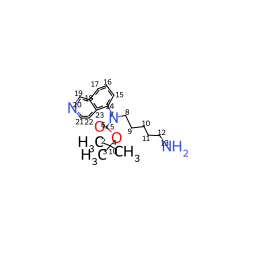 CC(C)(C)OC(=O)N(CCCCCN)c1cccc2cnccc12